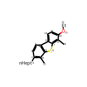 CCCCCCCc1ccc2c(sc3c(C)c(OCC)ccc32)c1C